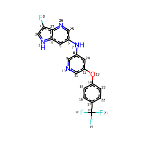 Fc1c[nH]c2cc(Nc3cncc(Oc4ccc(C(F)(F)F)cc4)c3)cnc12